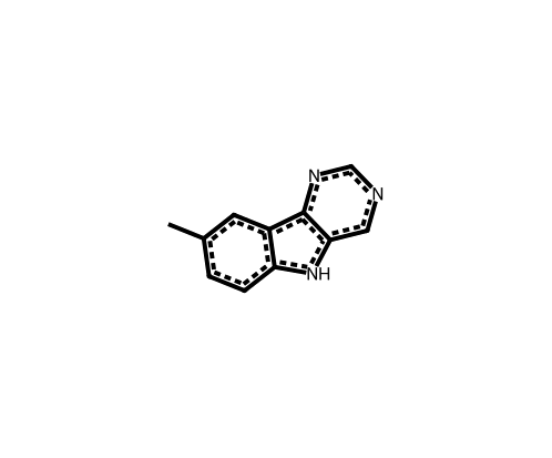 Cc1ccc2[nH]c3cncnc3c2c1